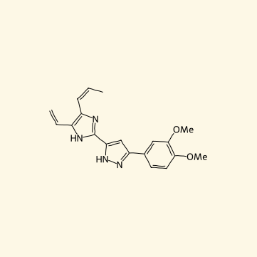 C=Cc1[nH]c(-c2cc(-c3ccc(OC)c(OC)c3)n[nH]2)nc1/C=C\C